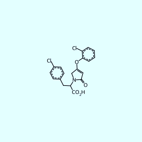 O=C(O)C(Cc1ccc(Cl)cc1)N1CC(Oc2ccccc2Cl)=CC1=O